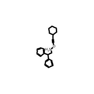 C(#CC1CCCCC1)O[SiH2]CC(c1ccccc1)c1ccccc1